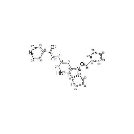 O=C(/C=C/C1=Cc2c(c3ccccc3n2OCc2ccccc2)NC1)c1ccncc1